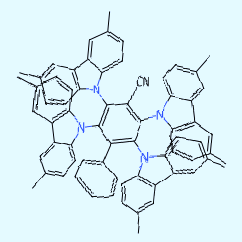 Cc1ccc2c(c1)c1cc(C)ccc1n2-c1c(C#N)c(-n2c3ccc(C)cc3c3cc(C)ccc32)c(-n2c3ccc(C)cc3c3cc(C)ccc32)c(-c2ccccc2)c1-n1c2ccc(C)cc2c2cc(C)ccc21